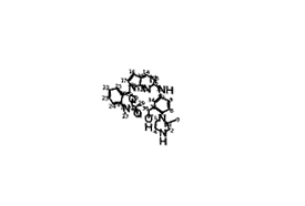 C[C@H]1CNCCN1c1ccc(Nc2ncc3ccn(Cc4ccccc4N(C)S(C)(=O)=O)c3n2)cc1CO